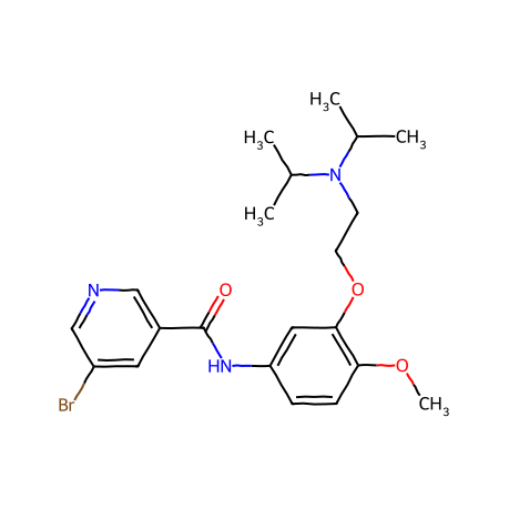 COc1ccc(NC(=O)c2cncc(Br)c2)cc1OCCN(C(C)C)C(C)C